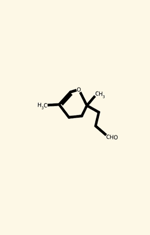 CC1=COC(C)(CCC=O)CC1